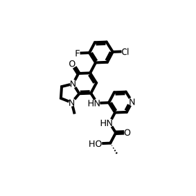 C[C@H](O)C(=O)Nc1cnccc1Nc1cc(-c2cc(Cl)ccc2F)c(=O)n2c1N(C)CC2